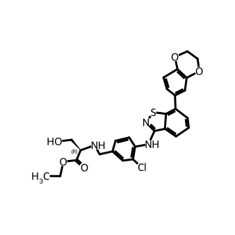 CCOC(=O)[C@@H](CO)NCc1ccc(Nc2nsc3c(-c4ccc5c(c4)OCCO5)cccc23)c(Cl)c1